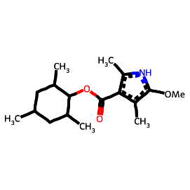 COc1[nH]c(C)c(C(=O)OC2C(C)CC(C)CC2C)c1C